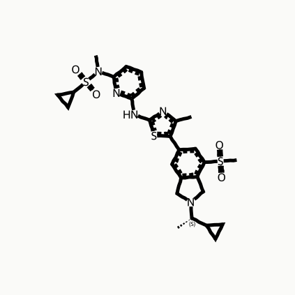 Cc1nc(Nc2cccc(N(C)S(=O)(=O)C3CC3)n2)sc1-c1cc2c(c(S(C)(=O)=O)c1)CN([C@@H](C)C1CC1)C2